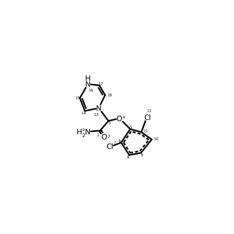 NC(=O)C(Oc1c(Cl)cccc1Cl)N1C=CNC=C1